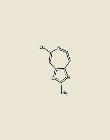 CCC1=Cc2oc(C(C)(C)C)nc2C=C=N1